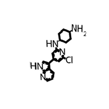 N[C@H]1CC[C@H](Nc2cc(-c3c[nH]c4ncccc34)cc(Cl)n2)CC1